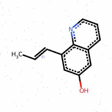 C/C=C/c1cc(O)cc2cccnc12